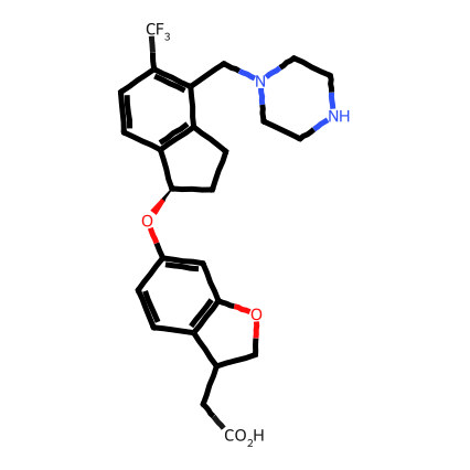 O=C(O)CC1COc2cc(O[C@@H]3CCc4c3ccc(C(F)(F)F)c4CN3CCNCC3)ccc21